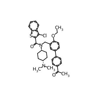 CCOc1ccc(-c2ccc(C(C)=O)cc2)cc1CN(C(=O)c1sc2ccccc2c1Cl)[C@H]1CC[C@H](N(C)C)CC1